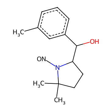 Cc1cccc(C(O)C2CCC(C)(C)N2N=O)c1